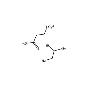 CCCCC(CC)[CH2][Na].O=C(O)CCC(O)=S